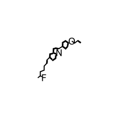 C=CCOc1ccc(-c2ccc3cc(/C=C/CCCC(C)F)ccc3n2)cc1